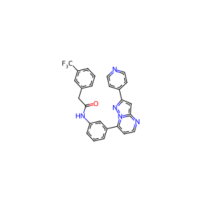 O=C(Cc1cccc(C(F)(F)F)c1)Nc1cccc(-c2ccnc3cc(-c4ccncc4)nn23)c1